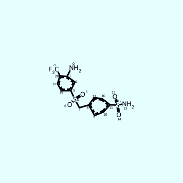 Nc1cc(S(=O)(=O)Cc2ccc(S(N)(=O)=O)cc2)ccc1C(F)(F)F